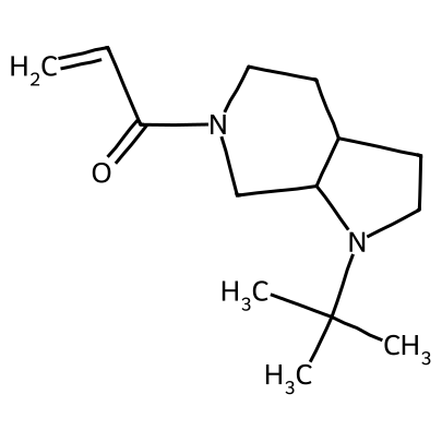 C=CC(=O)N1CCC2CCN(C(C)(C)C)C2C1